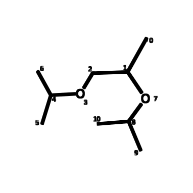 [CH2]C(COC(C)C)OC(C)C